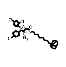 Cc1c(C(=O)NCCCCCCCCC23CC4CC(CC(C4)C2)C3)nn(-c2ccc(Cl)cc2Cl)c1-c1ccc(Cl)cc1